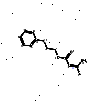 C/C(N)=C/C(=O)OCCOc1ccccc1